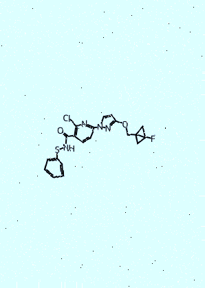 O=C(NSc1ccccc1)c1ccc(-n2ccc(OCC34CC3(F)C4)n2)nc1Cl